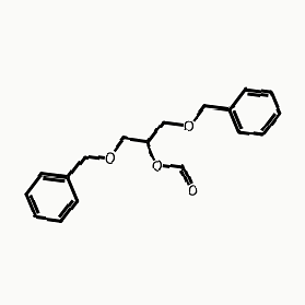 O=COC(COCc1ccccc1)COCc1ccccc1